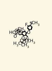 CSc1ccc(Oc2ccc(CN(C(=O)O)S(C)(=O)=O)cc2CN(C)C(=O)OC(C)(C)C)cc1F